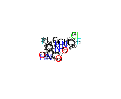 CC(C)CN(C(=O)Nc1ccc(F)c(Cl)c1)[C@H]1COCc2[nH]c(=O)c3cc(F)ccc3c21